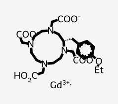 CCOc1ccc(C[C@H]2CN(CC(=O)[O-])CCN(CC(=O)[O-])CCN(CC(=O)O)CCN2CC(=O)[O-])cc1.[Gd+3]